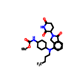 CC(C)(C)OC(=O)NC1CCC(N(CCCC(F)(F)F)c2cccc3c2CN(C2CCC(=O)NC2=O)C3=O)CC1